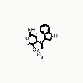 CCN(c1c[nH]c2ccccc12)C(CC(N)=O)C(=O)O